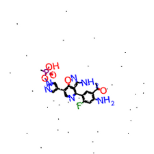 CC(=O)c1cc(-c2ncc(-c3cnn(OP(C)(=O)O)c3)c3onc(N)c23)c(F)cc1N